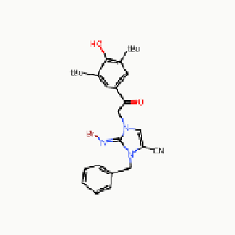 CC(C)(C)c1cc(C(=O)Cn2cc(C#N)n(Cc3ccccc3)/c2=N/Br)cc(C(C)(C)C)c1O